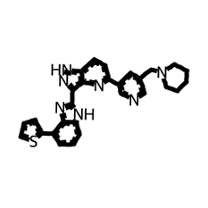 c1csc(-c2cccc3[nH]c(-c4n[nH]c5ccc(-c6cncc(CN7CCCCC7)c6)nc45)nc23)c1